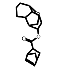 O=C(OC1C2CC3C1OC1CCCC2C13)C1CC2C=CC1C2